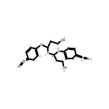 [N-]=[N+]=C1C=CC(OC(CCO)OC(CCO)OC2=CCC(=[N+]=[N-])C=C2)=CC1